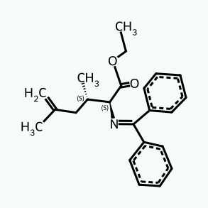 C=C(C)C[C@H](C)[C@H](N=C(c1ccccc1)c1ccccc1)C(=O)OCC